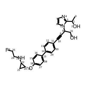 CC(O)c1nccn1C(C#Cc1ccc(-c2ccc(O[C@@H]3C[C@H]3NCCF)cc2)cc1)CO